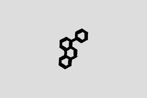 [c]1cc2c(-c3ccccc3)cccc2c2ccccc12